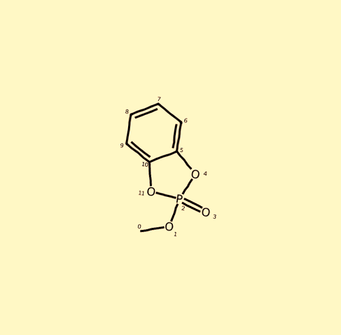 COP1(=O)Oc2ccccc2O1